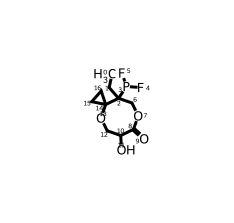 CCC1(P(F)F)COC(=O)C(O)COC12CC2